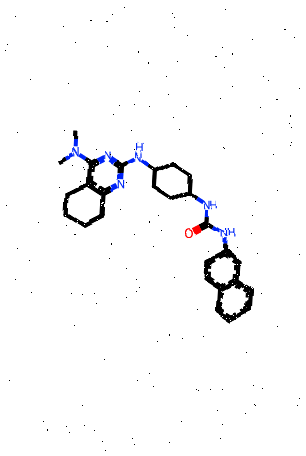 CN(C)c1nc(NC2CCC(NC(=O)Nc3ccc4ccccc4c3)CC2)nc2c1CCCC2